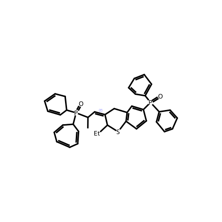 CCC1Sc2ccc(P(=O)(c3ccccc3)c3ccccc3)cc2C/C1=C/C(C)P(=O)(C1C=CC=CC=C1)C1C=CC=CC1